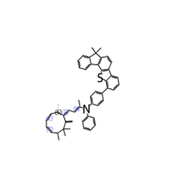 C=C1/C(=C\C=C(/C)N(c2ccccc2)c2ccc(-c3cccc4c3sc3c5c(ccc34)C(C)(C)c3ccccc3-5)cc2)[C@@H](C)/C=C\C=C/C(C)C1(C)C